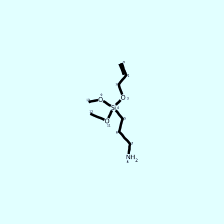 C=CCO[Si](CCCN)(OC)OC